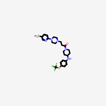 Cc1ccc(N2CCN(CCC(=O)N3CCC(Nc4ccc(SC(F)(F)F)cc4)CC3)CC2)nc1